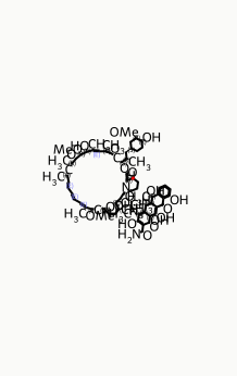 CN(C)[C@@H]1C(O)=C(C(N)=O)C(=O)[C@@]2(O)C(O)=C3C(=O)c4c(O)cccc4[C@@](C)(O)[C@H]3C[C@@H]12.CO[C@H]1C[C@@H]2CC[C@@H](C)[C@@](O)(O2)C(=O)C(=O)N2CCCC[C@H]2C(=O)O[C@H]([C@H](C)C[C@@H]2CC[C@@H](O)[C@H](OC)C2)CC(=O)[C@H](C)/C=C(\C)[C@@H](O)[C@@H](OC)C(=O)[C@H](C)C[C@H](C)/C=C/C=C/C=C/1C